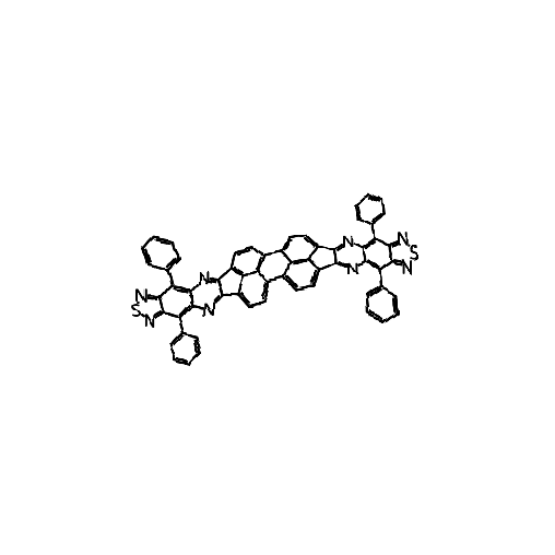 c1ccc(-c2c3nsnc3c(-c3ccccc3)c3nc4c(nc23)-c2ccc3c5ccc6c7c(ccc(c8ccc-4c2c38)c75)-c2nc3c(-c4ccccc4)c4nsnc4c(-c4ccccc4)c3nc2-6)cc1